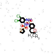 CC1(C)CCc2cc(S(=O)(=O)Nc3cc(Cl)c(Cl)cc3NS(=O)(=O)c3cccs3)ccc2O1